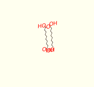 O=C(O)CCCCCCCCC(=O)O.OCCCCCCCCCCO